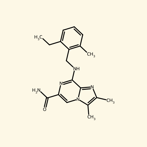 CCc1cccc(C)c1CNc1nc(C(N)=O)cn2c(C)c(C)nc12